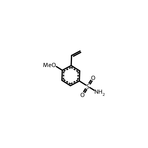 C=Cc1cc(S(N)(=O)=O)ccc1OC